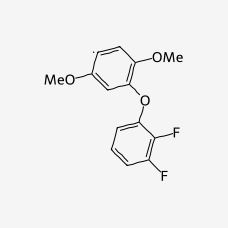 COc1[c]cc(OC)c(Oc2cccc(F)c2F)c1